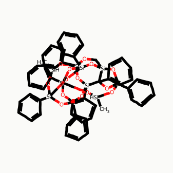 C[SiH]1O[Si]2(c3ccccc3)O[Si]3(c4ccccc4)O[Si]4(c5ccccc5)O[SiH](C)O[Si]5(c6ccccc6)OC[Si]6(O[Si](c7ccccc7)(O1)OC6(c1ccccc1)[Si](c1ccccc1)(O5)O[Si](c1ccccc1)(O2)O4)O3